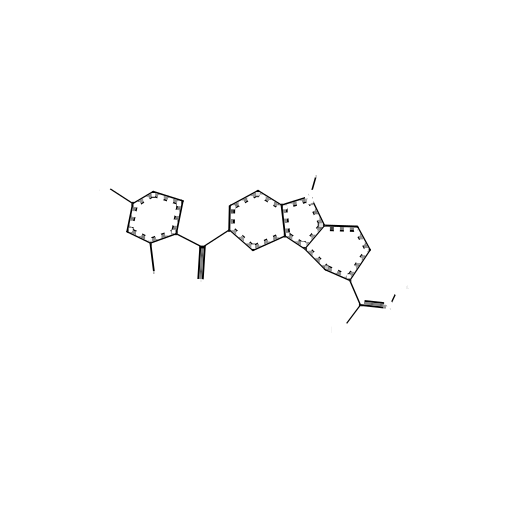 CCn1c2ccc(C(=O)c3ccc(C)cc3F)cc2c2cc(/C(C)=N\OC(C)=O)ccc21